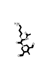 CC(=O)N[C@@H](CCCCN)C(=O)N1CC(C=O)=C(C)C(C=O)C1